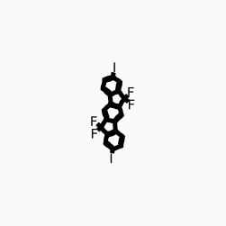 FC1(F)c2cc(I)ccc2-c2cc3c(cc21)-c1ccc(I)cc1C3(F)F